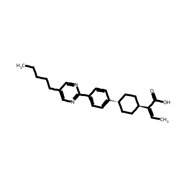 CC=C(C(=O)O)[C@H]1CC[C@H](c2ccc(-c3ncc(CCCCC)cn3)cc2)CC1